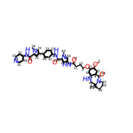 COc1cc2c(cc1OCCCC(=O)Nc1cc(C(=O)Nc3ccc(-c4cc(C(=O)Nc5ccncc5)n(C)c4)cc3)n(C)c1)NC[C@@H]1CCCCN1C2=O